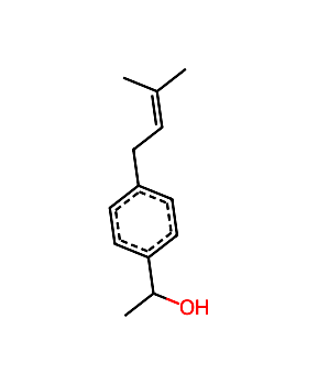 CC(C)=CCc1ccc(C(C)O)cc1